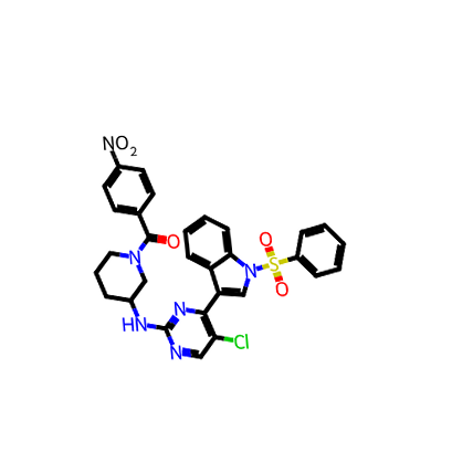 O=C(c1ccc([N+](=O)[O-])cc1)N1CCCC(Nc2ncc(Cl)c(-c3cn(S(=O)(=O)c4ccccc4)c4ccccc34)n2)C1